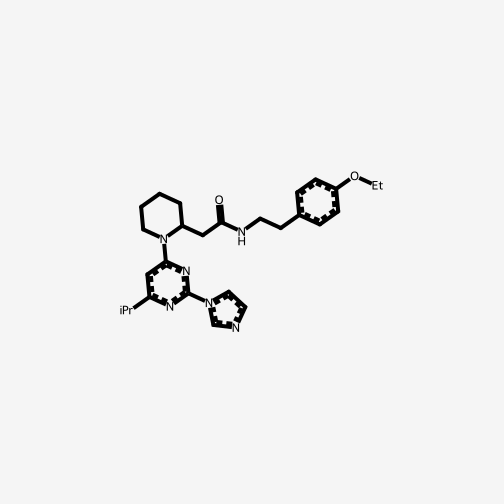 CCOc1ccc(CCNC(=O)CC2CCCCN2c2cc(C(C)C)nc(-n3ccnc3)n2)cc1